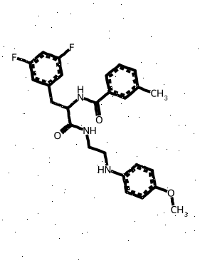 COc1ccc(NCCNC(=O)C(Cc2cc(F)cc(F)c2)NC(=O)c2cccc(C)c2)cc1